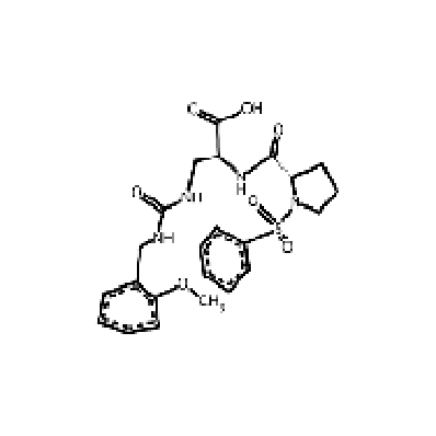 COc1ccccc1CNC(=O)NC[C@H](NC(=O)[C@@H]1CCCN1S(=O)(=O)c1ccccc1)C(=O)O